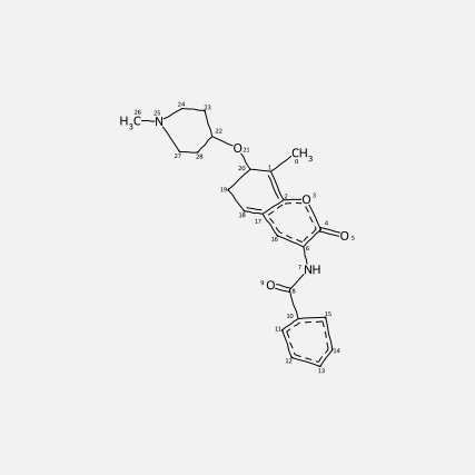 CC1=c2oc(=O)c(NC(=O)c3ccccc3)cc2=CCC1OC1CCN(C)CC1